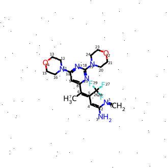 C=N/C(N)=C\C(=C(/C)c1cc(N2CCOCC2)nc(N2CCOCC2)n1)C(F)(F)F